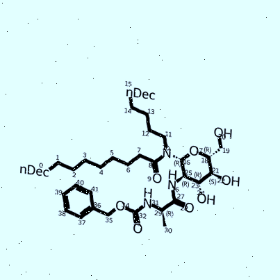 CCCCCCCCCCCCCCCCCC(=O)N(CCCCCCCCCCCCCC)[C@@H]1O[C@H](CO)[C@@H](O)[C@H](O)[C@H]1NC(=O)[C@@H](C)NC(=O)OCc1ccccc1